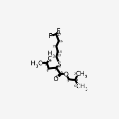 CC(C)COC(=O)C(CC(C)C)SCCCCC(F)F